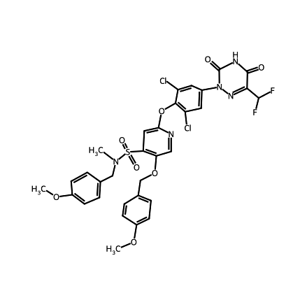 COc1ccc(COc2cnc(Oc3c(Cl)cc(-n4nc(C(F)F)c(=O)[nH]c4=O)cc3Cl)cc2S(=O)(=O)N(C)Cc2ccc(OC)cc2)cc1